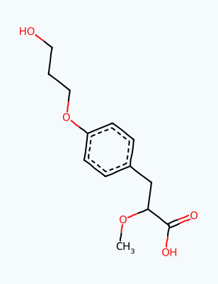 COC(Cc1ccc(OCCCO)cc1)C(=O)O